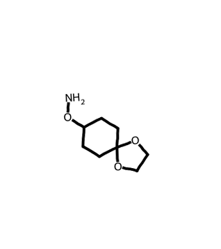 NOC1CCC2(CC1)OCCO2